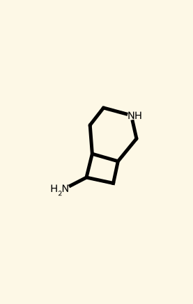 NC1CC2CNCCC12